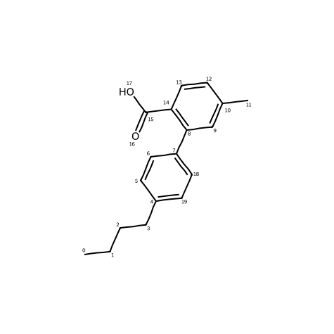 CCCCc1ccc(-c2cc(C)ccc2C(=O)O)cc1